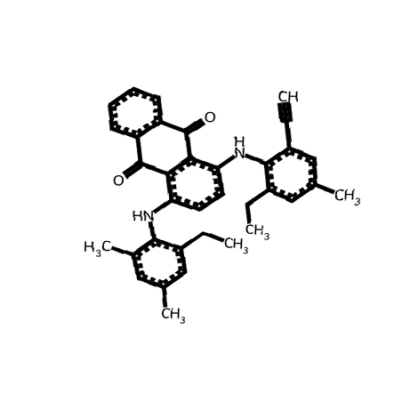 C#Cc1cc(C)cc(CC)c1Nc1ccc(Nc2c(C)cc(C)cc2CC)c2c1C(=O)c1ccccc1C2=O